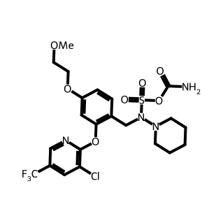 COCCOc1ccc(CN(N2CCCCC2)S(=O)(=O)OC(N)=O)c(Oc2ncc(C(F)(F)F)cc2Cl)c1